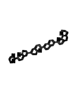 c1cnc(-c2ccc3cc(-c4ccc5nc(-c6ccc7cc(-c8ccc9ccc%10cccnc%10c9n8)ccc7c6)ccc5c4)ccc3n2)nc1